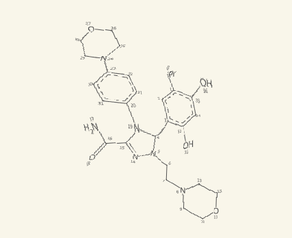 CC(C)c1cc(C2N(CCN3CCOCC3)N=C(C(N)=O)N2c2ccc(N3CCOCC3)cc2)c(O)cc1O